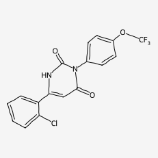 O=c1cc(-c2ccccc2Cl)[nH]c(=O)n1-c1ccc(OC(F)(F)F)cc1